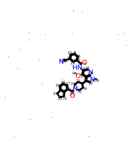 COc1c(NC(=O)c2cccc(C#N)c2)cnc2c1c(C1CCN(C(=O)c3cccc4c3CCC4)CC1)cn2C